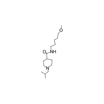 COCCCCCNC(=O)C1CCN(CC(C)C)CC1